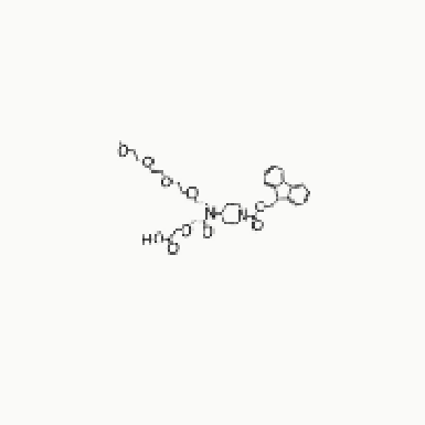 COCCOCCOCCOCCN(C(=O)COCC(=O)O)C1CCN(C(=O)OCC2c3ccccc3-c3ccccc32)CC1